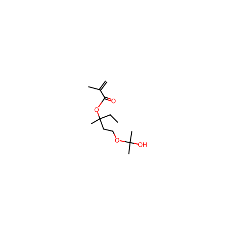 C=C(C)C(=O)OC(C)(CC)CCOC(C)(C)O